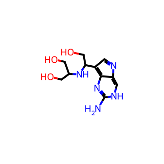 Nc1nc2c(C(CO)NC(CO)CO)cnc-2c[nH]1